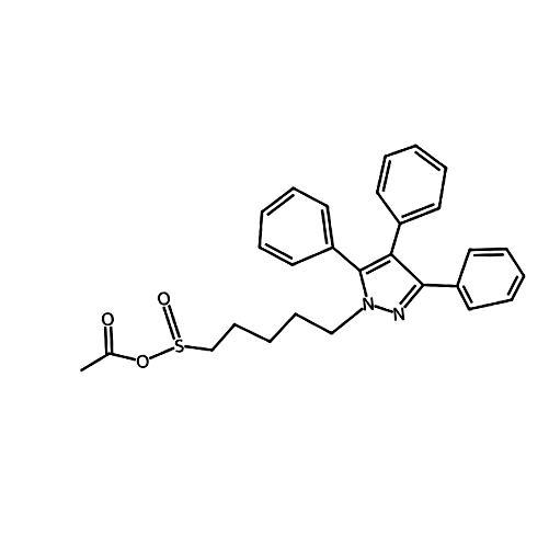 CC(=O)OS(=O)CCCCCn1nc(-c2ccccc2)c(-c2ccccc2)c1-c1ccccc1